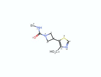 CCNC(=O)N1CC(c2scnc2C(=O)O)C1